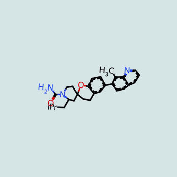 Cc1c(-c2ccc3c(c2)CCC2(CCN(C(N)=O)C(CC(C)C)C2)O3)ccc2cccnc12